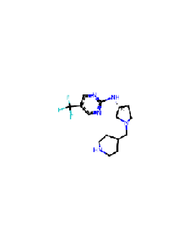 FC(F)(F)c1cnc(N[C@@H]2CCN(CC3CCNCC3)C2)nc1